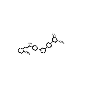 C=C1C=CCC/C1=C/C=C(\CCC)c1ccc(-c2cccc(-c3ccc(-c4cc(C)cc(C(F)(F)F)c4)cc3)c2)cc1